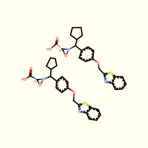 O=C(O)[C@@H]1ON1C(c1ccc(OCc2nc3ccccc3s2)cc1)C1CCCC1.O=C(O)[C@H]1ON1C(c1ccc(OCc2nc3ccccc3s2)cc1)C1CCCC1